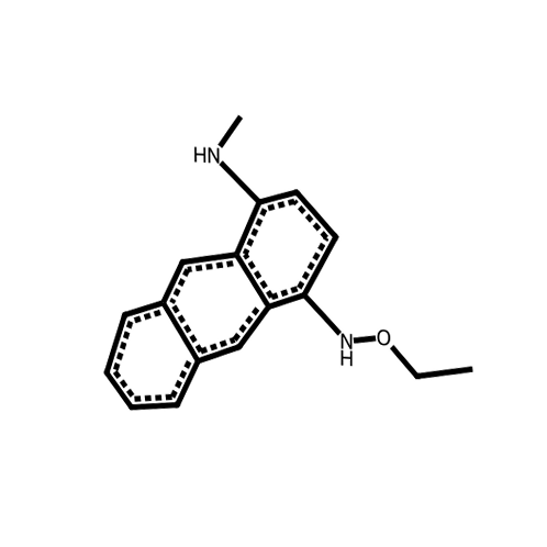 CCONc1ccc(NC)c2cc3ccccc3cc12